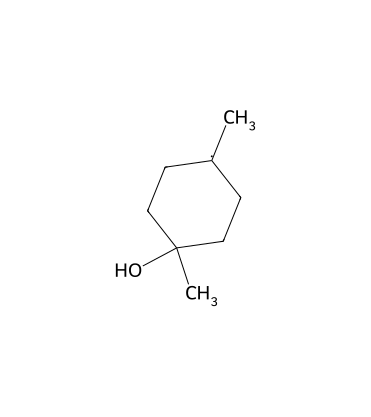 C[C]1CCC(C)(O)CC1